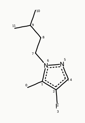 Cc1c(F)[c]nn1CCC(C)C